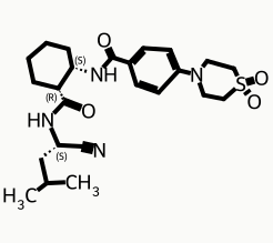 CC(C)C[C@@H](C#N)NC(=O)[C@@H]1CCCC[C@@H]1NC(=O)c1ccc(N2CCS(=O)(=O)CC2)cc1